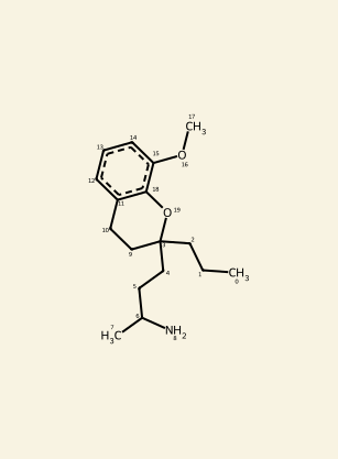 CCCC1(CCC(C)N)CCc2cccc(OC)c2O1